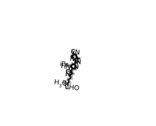 CC(C)Nc1cc(-n2ncc3cc(C#N)cnc32)ncc1-c1cc(CCCN(C)C=O)no1